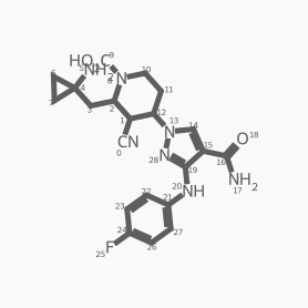 N#CC1C(CC2(N)CC2)N(C(=O)O)CCC1n1cc(C(N)=O)c(Nc2ccc(F)cc2)n1